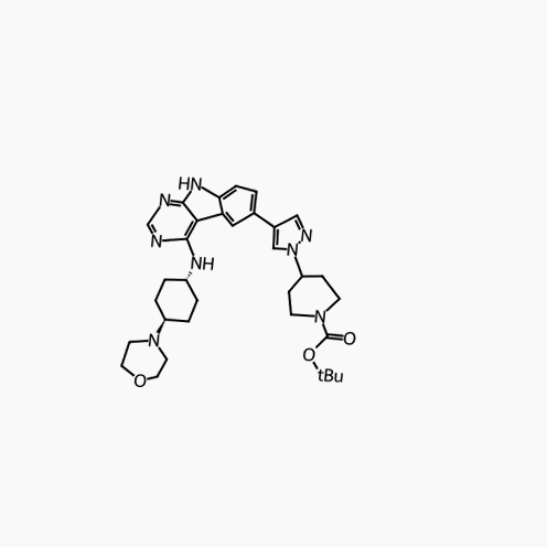 CC(C)(C)OC(=O)N1CCC(n2cc(-c3ccc4[nH]c5ncnc(N[C@H]6CC[C@H](N7CCOCC7)CC6)c5c4c3)cn2)CC1